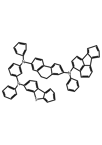 c1ccc(N(c2cccc(N(c3ccccc3)c3ccc4c(c3)sc3ccccc34)c2)c2ccc3c(c2)CCc2cc(N(c4ccccc4)c4ccc5c6c(cccc46)-c4ccccc4-5)ccc2-3)cc1